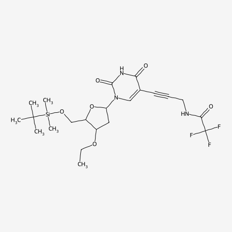 CCOC1CC(n2cc(C#CCNC(=O)C(F)(F)F)c(=O)[nH]c2=O)OC1CO[Si](C)(C)C(C)(C)C